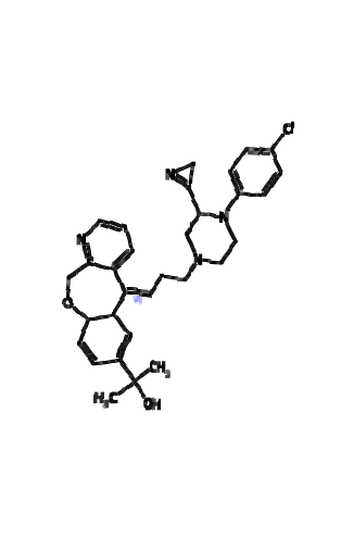 CC(C)(O)C1=CC2/C(=C/CCN3CCN(c4ccc(Cl)cc4)C(C4=NC4)C3)c3cccnc3COC2C=C1